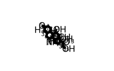 C[C@]12CCC(=O)C=C1CC[C@@H]1[C@@H]2[C@@H](O)C[C@@]2(C)[C@H]1CC[C@]2(O)C(=O)CO.N